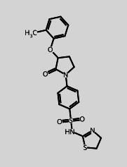 Cc1ccccc1OC1CCN(c2ccc(S(=O)(=O)NC3=NCCS3)cc2)C1=O